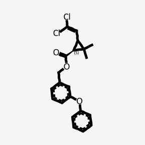 CC1(C)C(C=C(Cl)Cl)[C@@H]1C(=O)OCc1cccc(Oc2ccccc2)c1